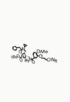 COCCCOc1cc(C(=O)N(C[C@@H]2CN(C(=O)OC(C)(C)C)C[C@H]2CN(C(=O)Cc2ccccc2)C2CC2)C(C)C)ccc1OC